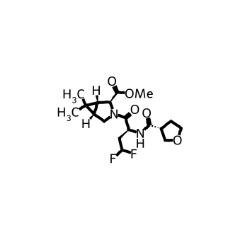 COC(=O)[C@@H]1[C@@H]2[C@H](CN1C(=O)[C@H](CC(F)F)NC(=O)[C@@H]1CCOC1)C2(C)C